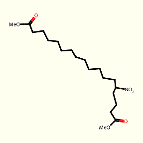 COC(=O)CCCCCCCCCCCCC(CCCC(=O)OC)[N+](=O)[O-]